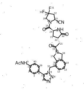 CC(=O)Nc1ccc(-c2cnnn2Cc2cccc3c2CN(C(=O)C[C@@H]2C[C@@H](C(=O)N4CC(F)(F)C[C@H]4C#N)NC2=O)C3)cc1